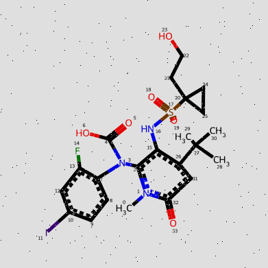 Cn1c(N(C(=O)O)c2ccc(I)cc2F)c(NS(=O)(=O)C2(CCO)CC2)c(C(C)(C)C)cc1=O